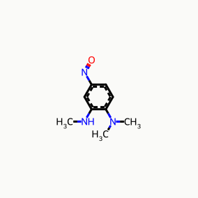 CNc1cc(N=O)ccc1N(C)C